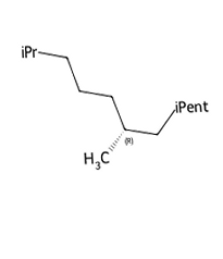 CCCC(C)C[C@H](C)CCCC(C)C